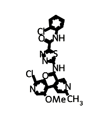 COc1cnc(Cl)cc1-c1cc(C)ncc1C(=O)Nc1nnc(C(=O)Nc2ccccc2Cl)s1